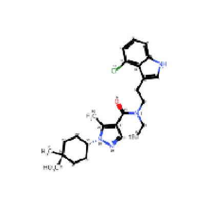 CC(C)(C)CN(CCc1c[nH]c2cccc(Cl)c12)C(=O)c1cnn([C@H]2CC[C@](C)(C(=O)O)CC2)c1C(F)(F)F